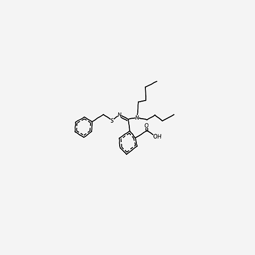 CCCCN(CCCC)/C(=N/SCc1ccccc1)c1ccccc1C(=O)O